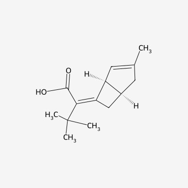 CC1=C[C@@H]2C(=C(C(=O)O)C(C)(C)C)C[C@@H]2C1